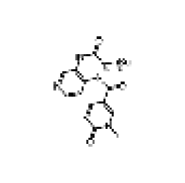 CC[C@H](C)[C@H]1C(=O)Nc2cnccc2N1C(=O)c1ccc(=O)n(C)c1